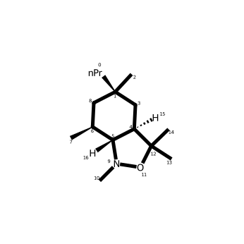 CCC[C@@]1(C)C[C@@H]2[C@@H]([C@@H](C)C1)N(C)OC2(C)C